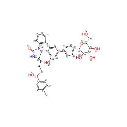 Cc1ccc([C@H](O)CCC[C@H]2NC(=O)N(c3ccccc3)[C@@H]2c2ccc(-c3ccc([C@@H]4O[C@H](CO)[C@@H](O)[C@H](O)[C@H]4O)cc3)cc2O)cc1